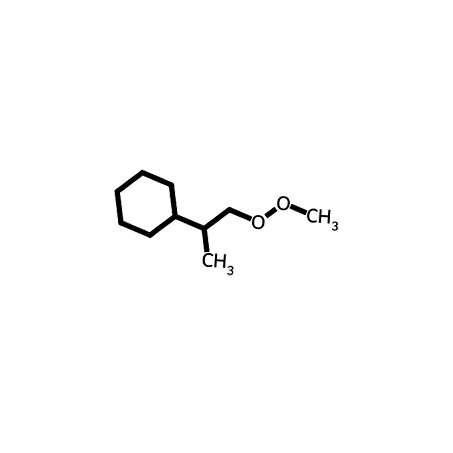 COOCC(C)C1CCCCC1